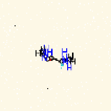 Fc1cc(C#Cc2ccc3c(c2)CCc2nc([C@@H]4C[C@H]5C[C@H]5N4)[nH]c2-3)cc2[nH]c([C@@H]3C[C@H]4C[C@H]4N3)nc12